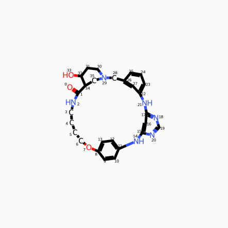 O=C1NCCCCOc2ccc(cc2)Nc2cc(ncn2)Nc2cccc(c2)CN2CCC(O)C1C2